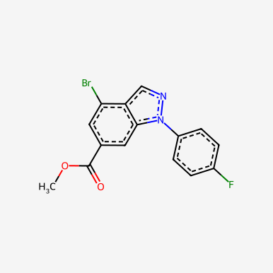 COC(=O)c1cc(Br)c2cnn(-c3ccc(F)cc3)c2c1